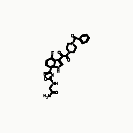 NC(=O)CNc1nc(-c2ccc(F)c3c(C(=O)C(=O)N4CCN(C(=O)c5ccccc5)CC4)c[nH]c23)no1